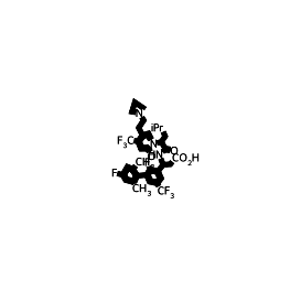 Cc1cc(F)cc(C)c1-c1cc(C(F)(F)F)cc(C(CC(=O)O)NC(=O)C(CC(C)C)n2cc(CCN3CCC3)c(C(F)(F)F)cc2=O)c1F